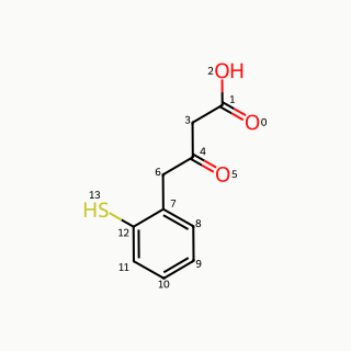 O=C(O)CC(=O)Cc1ccccc1S